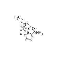 CCCN1CCC2c3c(cccc3C(N)=O)CC[C@H]21